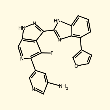 Nc1cncc(-c2ncc3[nH]nc(-c4nc5c(-c6ccoc6)cccc5[nH]4)c3c2F)c1